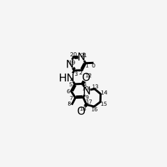 Cc1cc(Nc2cc(C)c3n(c2=O)CCCCC3=O)ncn1